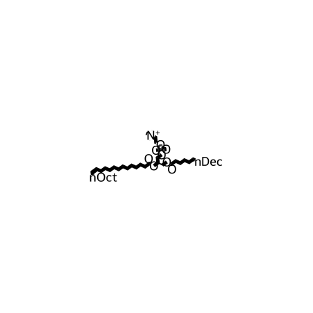 CCCCCCCC/C=C\CCCCCCCCCCCC(=O)O[C@H](COC(=O)CCCCCCCCCCCCCCC)COP(=O)([O-])OCC[N+](C)(C)C